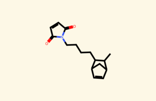 CC1C2C=CC(C2)C1CCCCN1C(=O)C=CC1=O